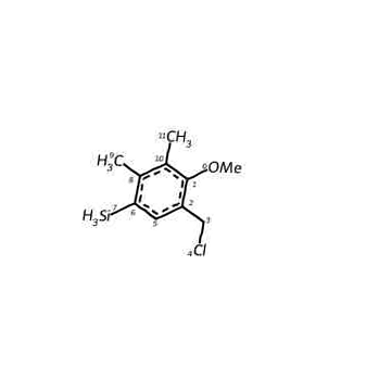 COc1c(CCl)cc([SiH3])c(C)c1C